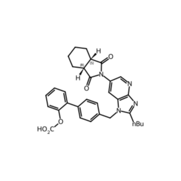 CCCCc1nc2ncc(N3C(=O)[C@H]4CCCC[C@H]4C3=O)cc2n1Cc1ccc(-c2ccccc2OC(=O)O)cc1